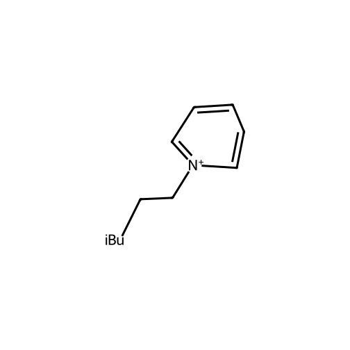 CCC(C)CC[n+]1ccccc1